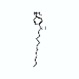 CCCCCCCCCCCNc1ccc(N)cc1